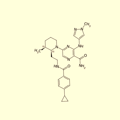 C[C@H]1CCCN(c2cnc(C(N)=O)c(Nc3cnn(C)c3)n2)[C@H]1CCNC(=O)c1ccc(C2CC2)cc1